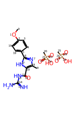 COc1ccc(-c2nc(C)c(C(=O)NC(=N)N)[nH]2)cc1.CS(=O)(=O)O.CS(=O)(=O)O